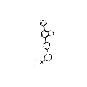 CC(C)(C)C1CN(c2ncc(-c3ccc(-c4cn[nH]c4)c4ncsc34)nn2)CCN1